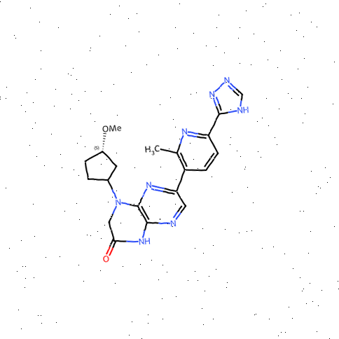 CO[C@H]1CCC(N2CC(=O)Nc3ncc(-c4ccc(-c5nnc[nH]5)nc4C)nc32)C1